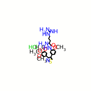 COc1ccc(-c2csnc2-c2cc(OC)c(OC)c(OC)c2)cc1NC(=O)C(N)CCCNC(=N)N.Cl